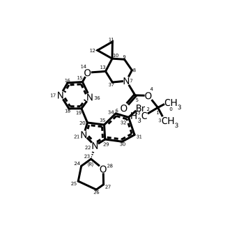 CC(C)(C)OC(=O)N1CCC2(CC2)C(Oc2cncc(-c3nn([C@H]4CCCCO4)c4ccc(Br)cc34)n2)C1